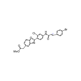 COC(=O)Cc1ccc2oc(-c3ccc(NC(=O)/C=C/c4ccc(Br)cc4)cc3Cl)nc2c1